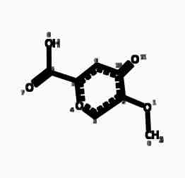 COc1coc(C(=O)O)cc1=O